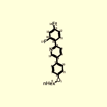 CCCCCCOc1ccc(-c2ccc(-c3ccc(CC)cc3F)nc2)cc1